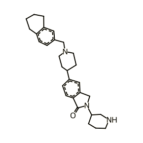 O=C1c2ccc(C3CCN(Cc4ccc5c(c4)CCCC5)CC3)cc2CN1C1CCCNC1